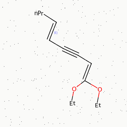 CCC/C=C/C#CC=C(OCC)OCC